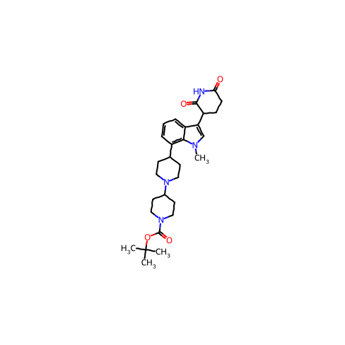 Cn1cc(C2CCC(=O)NC2=O)c2cccc(C3CCN(C4CCN(C(=O)OC(C)(C)C)CC4)CC3)c21